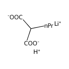 CCCC(C(=O)[O-])C(=O)[O-].[H+].[Li+]